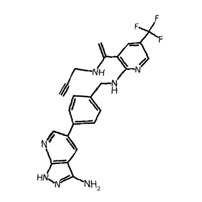 C#CCNC(=C)c1cc(C(F)(F)F)cnc1NCc1ccc(-c2cnc3[nH]nc(N)c3c2)cc1